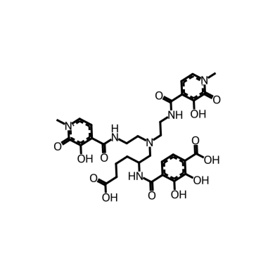 Cn1ccc(C(=O)NCCN(CCNC(=O)c2ccn(C)c(=O)c2O)CC(CCCC(=O)O)NC(=O)c2ccc(C(=O)O)c(O)c2O)c(O)c1=O